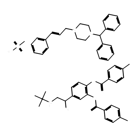 C(=C\c1ccccc1)/CN1CCN(C(c2ccccc2)c2ccccc2)CC1.CS(=O)(=O)O.Cc1ccc(C(=O)Oc2ccc(C(O)CNC(C)(C)C)cc2OC(=O)c2ccc(C)cc2)cc1